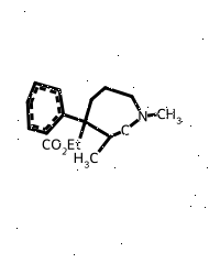 CCOC(=O)C1(c2ccccc2)CCCN(C)CC1C